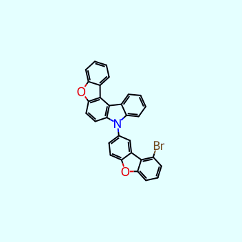 Brc1cccc2oc3ccc(-n4c5ccccc5c5c6c(ccc54)oc4ccccc46)cc3c12